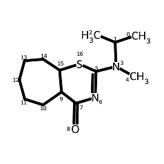 CC(C)N(C)C1=NC(=O)C2CCCCCC2S1